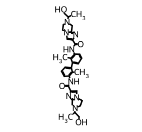 Cc1c(NC(=O)c2cn3c(n2)CN(C(C)CO)CC3)cccc1-c1cccc(NC(=O)c2cn3c(n2)CN(C(C)CO)CC3)c1C